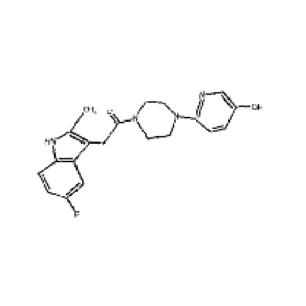 Cc1[nH]c2ccc(F)cc2c1CC(=O)N1CCN(c2ccc(O)cn2)CC1